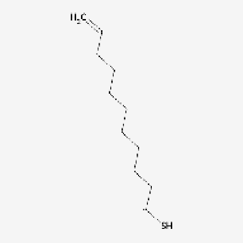 C=CCCCCCCCC[CH]S